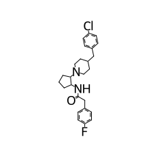 O=C(Cc1ccc(F)cc1)NC1CCCC1N1CCC(Cc2ccc(Cl)cc2)CC1